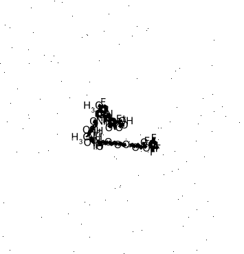 CC[C@@]1(O)C(=O)OCc2c1cc1n(c2=O)Cc2c-1nc1cc(F)c(C)c3c1c2C(NC(=O)CCNC(=O)[C@H](C)NC(=O)[C@@H](NC(=O)CCOCCOCCOCCOCCC(=O)Oc1c(F)c(F)cc(F)c1F)C(C)C)CC3